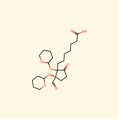 O=C[C@@]1(OC2CCCCO2)CCC(=O)C1(CCCCCCC(=O)O)OC1CCCCO1